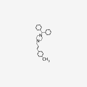 Cc1ccc(/C=C/CN2CCN(C(c3ccccc3)c3ccccc3)CC2)cc1